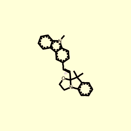 Cn1c2ccccc2c2cc(/C=C/C34OCCN3c3ccccc3C4(C)C)ccc21